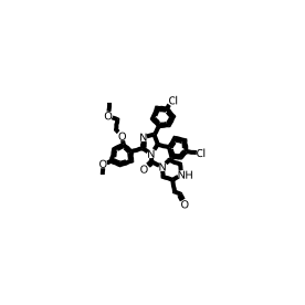 COCCOc1cc(OC)ccc1C1=NC(c2ccc(Cl)cc2)C(c2ccc(Cl)cc2)N1C(=O)N1CCNC(CC=O)C1